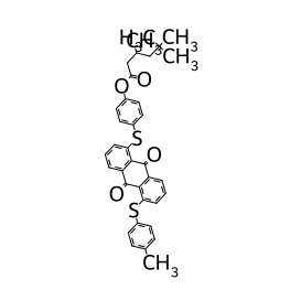 Cc1ccc(Sc2cccc3c2C(=O)c2cccc(Sc4ccc(OC(=O)CC(C)CC(C)(C)C)cc4)c2C3=O)cc1